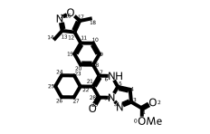 COC(=O)c1cc2[nH]c(-c3ccc(-c4c(C)noc4C)cc3)c(C3CCCCC3)c(=O)n2n1